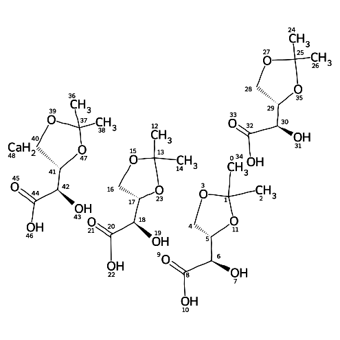 CC1(C)OC[C@@H]([C@@H](O)C(=O)O)O1.CC1(C)OC[C@@H]([C@@H](O)C(=O)O)O1.CC1(C)OC[C@@H]([C@@H](O)C(=O)O)O1.CC1(C)OC[C@@H]([C@@H](O)C(=O)O)O1.[CaH2]